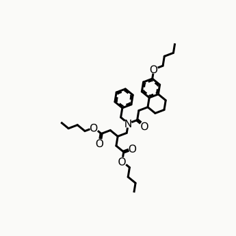 CCCCOC(=O)CC(CC(=O)OCCCC)CN(Cc1ccccc1)C(=O)CC1CCCc2cc(OCCCC)ccc21